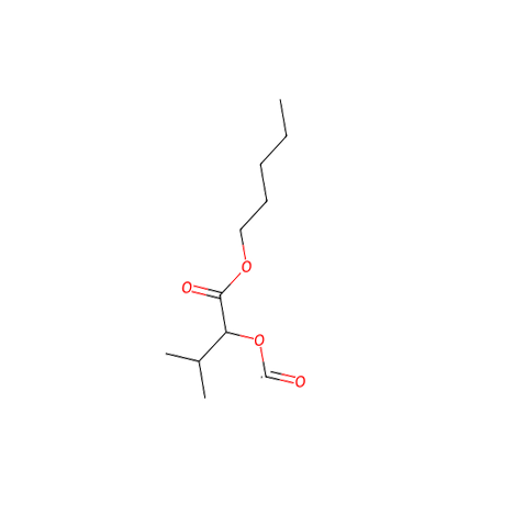 CCCCCOC(=O)C(O[C]=O)C(C)C